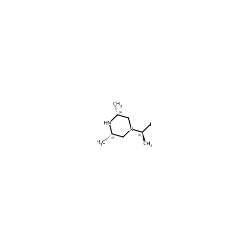 C[C@@H]1CN([C@H](C)I)C[C@H](C)N1